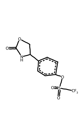 O=C1NC(c2ccc(OS(=O)(=O)C(F)(F)F)cc2)CO1